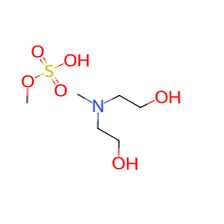 CN(CCO)CCO.COS(=O)(=O)O